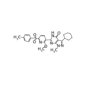 COc1nc(S(=O)(=O)c2ccc(C)cc2)ccc1-c1nc2c(c(C3CCCCC3)nn2C)c(=O)[nH]1